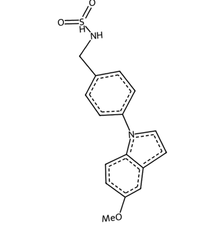 COc1ccc2c(ccn2-c2ccc(CN[SH](=O)=O)cc2)c1